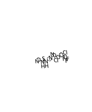 FC(F)(F)Oc1cc(Oc2ccnc(N3CCC(NC(=S)Nc4cccnc4)CC3)c2Cl)ccc1Cl